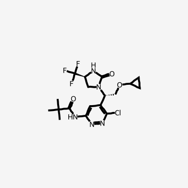 CC(C)(C)C(=O)Nc1cc([C@@H](COC2CC2)N2C[C@@H](C(F)(F)F)NC2=O)c(Cl)nn1